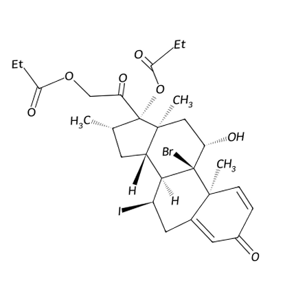 CCC(=O)OCC(=O)[C@]1(OC(=O)CC)[C@@H](C)C[C@H]2[C@@H]3[C@H](I)CC4=CC(=O)C=C[C@]4(C)[C@@]3(Br)[C@@H](O)C[C@@]21C